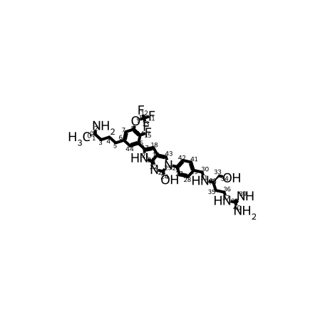 C[C@H](N)CCCc1cc(OC(F)(F)F)c(F)c(-c2cc3c([nH]2)=NC(O)N(c2ccc(CN[C@@H](CO)CCNC(=N)N)cc2)C=3)c1